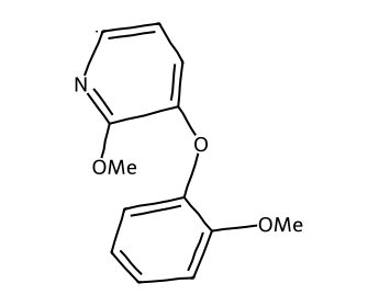 COc1ccccc1Oc1cc[c]nc1OC